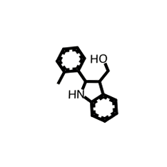 Cc1ccccc1C1Nc2ccccc2C1CO